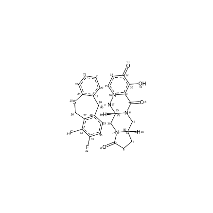 O=C1CC[C@H]2CN3C(=O)c4c(O)c(=O)ccn4N([C@H]4c5ccccc5SCc5c4ccc(F)c5F)[C@H]3CN12